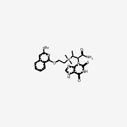 CCCCc1cc2ccccc2c(OCC[N+](C)(C)C(C)C(C(N)=O)n2c(=S)[nH]c(=O)c3[nH]cnc32)n1